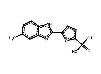 Cc1ccc2[nH]c(-c3ccc(P(=O)(O)O)o3)nc2c1